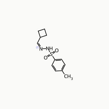 Cc1ccc(S(=O)(=O)N/N=C\C2CCC2)cc1